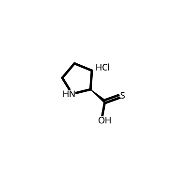 Cl.OC(=S)[C@@H]1CCCN1